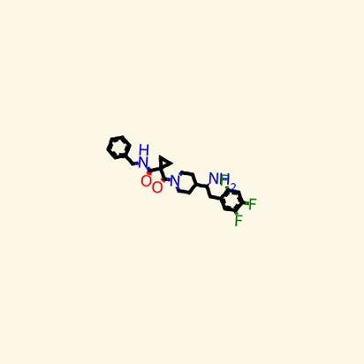 N[C@H](Cc1cc(F)c(F)cc1F)C1CCN(C(=O)C2(C(=O)NCc3ccccc3)CC2)CC1